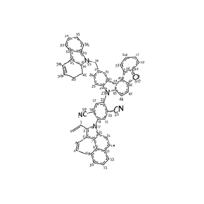 C=Cc1c(/C=C\C)c2c3ccccc3ccc2n1-c1cc(C#N)c(-n2c3ccc(Cn4c5c(c6ccccc64)C=CCC5)cc3c3c4c(ccc32)oc2ccccc24)cc1C#N